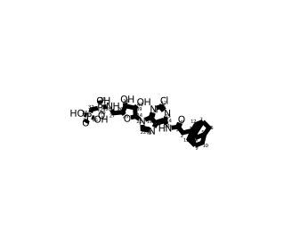 O=C(CC12CC3CC(CC(C3)C1)C2)Nc1nc(Cl)nc2c1ncn2C1OC(CNP(=O)(O)CP(=O)(O)O)C(O)C1O